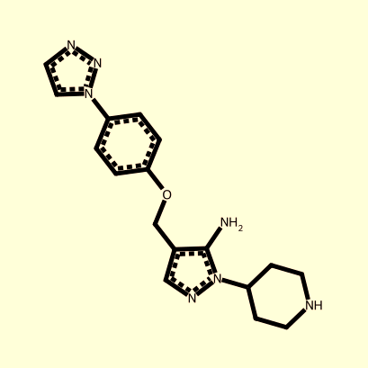 Nc1c(COc2ccc(-n3ccnn3)cc2)cnn1C1CCNCC1